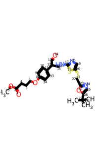 COC(=O)CCCOc1ccc(C(C=O)CNc2ncc(SCc3ncc(C(C)(C)C)o3)s2)cc1